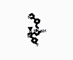 N=c1ccc(-c2c(-c3ccc(F)cc3)ncn2C2CC2)nn1/C=C/c1cccc(-c2cccnc2)c1